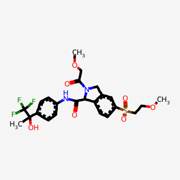 COCCS(=O)(=O)c1ccc2c(c1)CN(C(=O)COC)C2C(=O)Nc1ccc(C(C)(O)C(F)(F)F)cc1